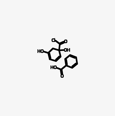 O=C(Cl)C1(O)C=CC=C(O)C1.O=C(O)c1ccccc1